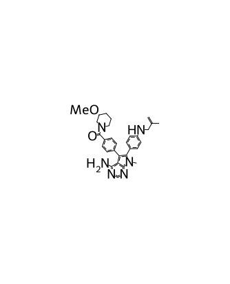 C=C(C)CNc1ccc(-c2c(-c3ccc(C(=O)N4CCC[C@H](OC)C4)cc3)c3c(N)ncnc3n2C)cc1